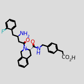 N[C@@H](CC(=O)N1Cc2ccccc2C[C@H]1C(=O)NCc1ccc(CC(=O)O)cc1)Cc1ccccc1F